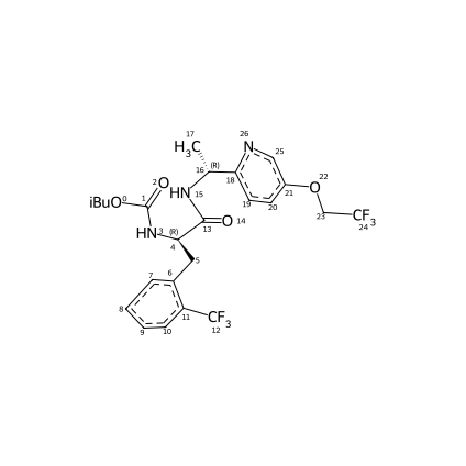 CC(C)COC(=O)N[C@H](Cc1ccccc1C(F)(F)F)C(=O)N[C@H](C)c1ccc(OCC(F)(F)F)cn1